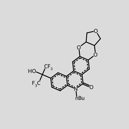 CCCCn1c(=O)c2cc3c(cc2c2cc(C(O)(C(F)(F)F)C(F)(F)F)ccc21)OC1COCC1O3